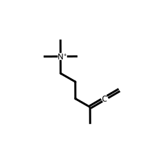 C=C=C(C)CCC[N+](C)(C)C